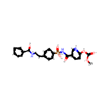 CC(C)OC(=O)Oc1ccc(C(=O)NS(=O)(=O)c2ccc(CCNC(=O)c3ccccc3)cc2)cn1